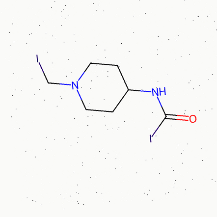 O=C(I)NC1CCN(CI)CC1